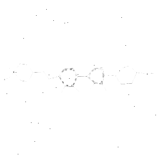 CCCCCC1CCC(c2ccc(-c3ccc(CCC4OCC(F)(CCC)CO4)c(F)c3F)c(F)c2F)CO1